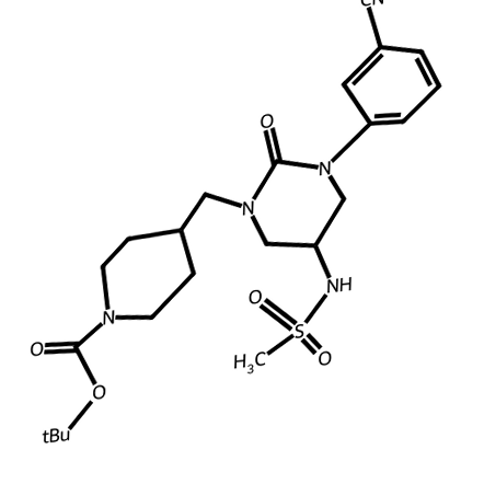 CC(C)(C)OC(=O)N1CCC(CN2CC(NS(C)(=O)=O)CN(c3cccc(C#N)c3)C2=O)CC1